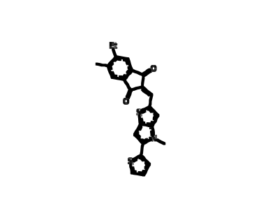 CCc1cc2c(cc1C)C(=O)/C(=C\c1cc3c(cc(-c4cccs4)n3C)s1)C2=O